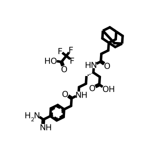 N=C(N)c1ccc(CC(=O)NCCC[C@@H](CC(=O)O)NC(=O)CCC23CC4CC(CC(C4)C2)C3)cc1.O=C(O)C(F)(F)F